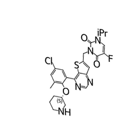 Cc1cc(Cl)cc(-c2ncnc3cc(Cn4c(=O)c(F)cn(C(C)C)c4=O)sc23)c1O[C@H]1CCCNC1